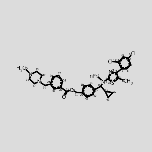 CCCN(c1nc(-c2ccc(Cl)cc2Cl)c(C)s1)C(c1ccc(COC(=O)c2cccc(CN3CCN(C)CC3)c2)cc1)C1CC1